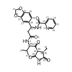 CC(C)[C@@H](NC(=O)CC(NC(=O)c1ccccn1)c1ccc2c(c1)OCO2)C(=O)[C@@H]1C(=O)NC(=O)[C@@H]1C